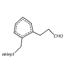 CCCCCCCCc1ccccc1CCC=O